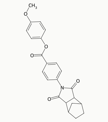 COc1ccc(OC(=O)c2ccc(N3C(=O)C4C5CCC(C5)C4C3=O)cc2)cc1